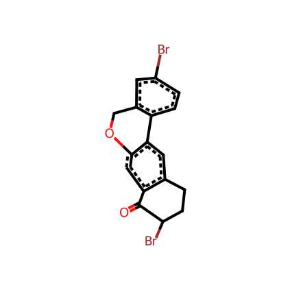 O=C1c2cc3c(cc2CCC1Br)-c1ccc(Br)cc1CO3